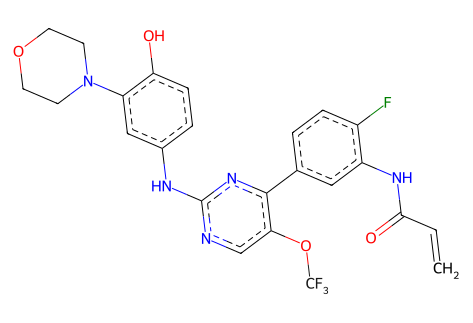 C=CC(=O)Nc1cc(-c2nc(Nc3ccc(O)c(N4CCOCC4)c3)ncc2OC(F)(F)F)ccc1F